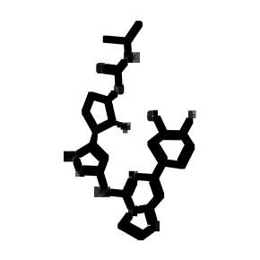 CC(C)NC(=O)O[C@@H]1CC[C@H](c2cc(Nc3nc(-c4ccc(F)c(Cl)c4)cc4nccn34)n[nH]2)[C@H]1F